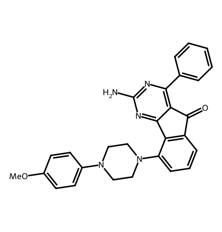 COc1ccc(N2CCN(c3cccc4c3-c3nc(N)nc(-c5ccccc5)c3C4=O)CC2)cc1